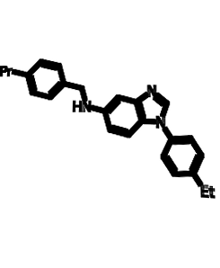 CCc1ccc(-n2cnc3cc(NCc4ccc(C(C)C)cc4)ccc32)cc1